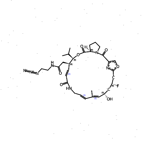 CC1=C\[C@@H](O)C[C@@H](F)Cc2nc(co2)C(=O)N2CCC[C@@H]2C(=O)O[C@H](C(C)C)[C@H](CC(=O)NCCN=[N+]=[N-])/C=C/C(=O)NC\C=C\1